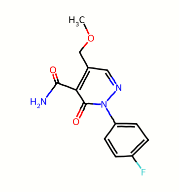 COCc1cnn(-c2ccc(F)cc2)c(=O)c1C(N)=O